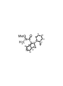 CON(C)C(=O)c1c(-c2ccccc2F)sc2cncn12